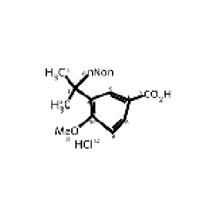 CCCCCCCCCC(C)(C)c1cc(C(=O)O)ccc1OC.Cl